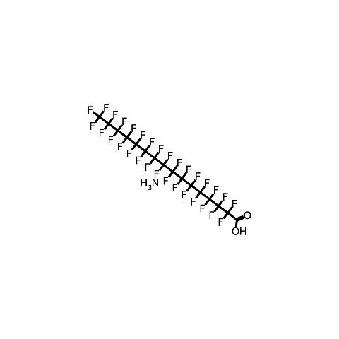 N.O=C(O)C(F)(F)C(F)(F)C(F)(F)C(F)(F)C(F)(F)C(F)(F)C(F)(F)C(F)(F)C(F)(F)C(F)(F)C(F)(F)C(F)(F)C(F)(F)C(F)(F)C(F)(F)F